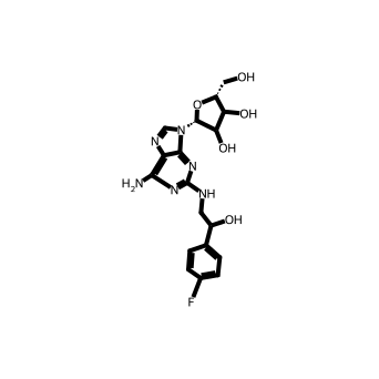 Nc1nc(NCC(O)c2ccc(F)cc2)nc2c1ncn2[C@@H]1O[C@H](CO)C(O)C1O